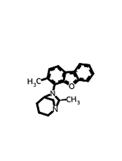 Cc1ccc2c(oc3ccccc32)c1N1C2CCCN(C2)[C@@H]1C